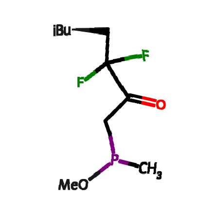 CC[C@H](C)CC(F)(F)C(=O)CP(C)OC